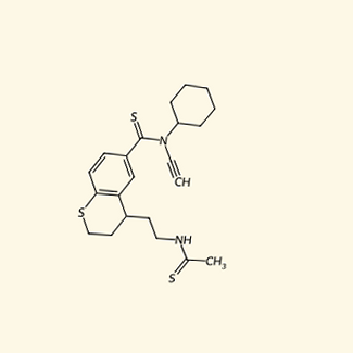 C#CN(C(=S)c1ccc2c(c1)C(CCNC(C)=S)CCS2)C1CCCCC1